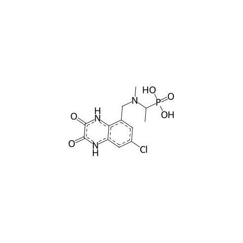 CC(N(C)Cc1cc(Cl)cc2[nH]c(=O)c(=O)[nH]c12)P(=O)(O)O